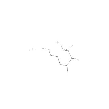 CCCCCCCCCCCC(C)C(C)C(C)=CO